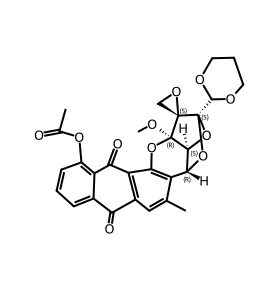 CO[C@@]12Oc3c4c(cc(C)c3[C@H]3O[C@](C5OCCCO5)(O[C@@H]31)[C@]21CO1)C(=O)c1cccc(OC(C)=O)c1C4=O